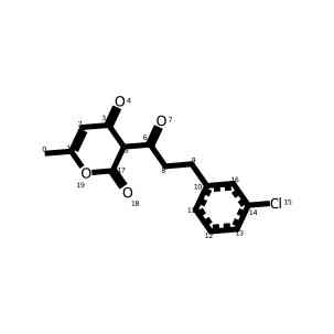 CC1=CC(=O)C(C(=O)CCc2cccc(Cl)c2)C(=O)O1